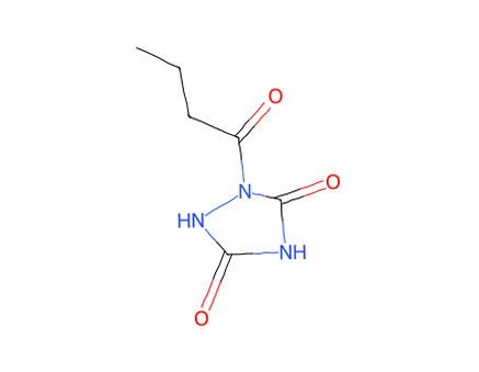 CCCC(=O)n1[nH]c(=O)[nH]c1=O